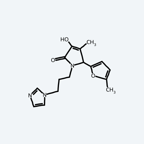 CC1=C(O)C(=O)N(CCCn2ccnc2)C1c1ccc(C)o1